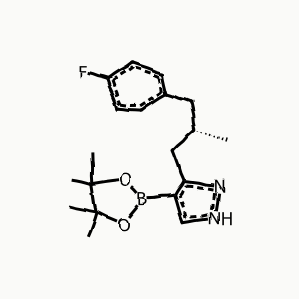 C[C@@H](Cc1ccc(F)cc1)Cc1n[nH]cc1B1OC(C)(C)C(C)(C)O1